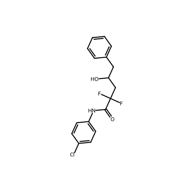 O=C(Nc1ccc(Cl)cc1)C(F)(F)CC(O)Cc1ccccc1